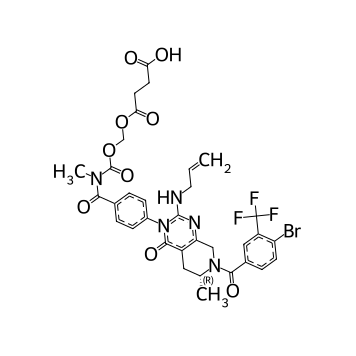 C=CCNc1nc2c(c(=O)n1-c1ccc(C(=O)N(C)C(=O)OCOC(=O)CCC(=O)O)cc1)C[C@@H](C)N(C(=O)c1ccc(Br)c(C(F)(F)F)c1)C2